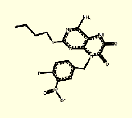 CCCCSc1nc(N)c2[nH]c(=O)c(=O)n(Cc3ccc(F)c([N+](=O)[O-])c3)c2n1